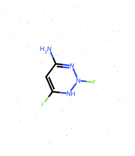 NC1=NN(F)NC(F)=C1